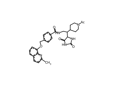 CC(=O)N1CCC(C(CNC(=O)c2ccc(COc3cccc4ccc(C)nc34)cc2)C2NC(=O)NC2=O)CC1